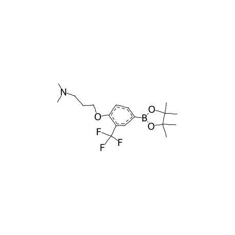 CN(C)CCCOc1ccc(B2OC(C)(C)C(C)(C)O2)cc1C(F)(F)F